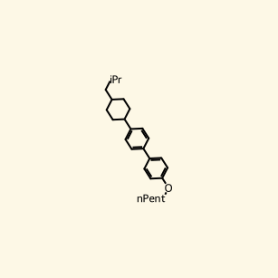 CCCCCOc1ccc(-c2ccc(C3CCC(CC(C)C)CC3)cc2)cc1